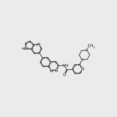 CN1CCN(c2cc(C(=O)Nc3cc4cc(-c5cnc6cc[nH]c6c5)ccc4nn3)ccn2)CC1